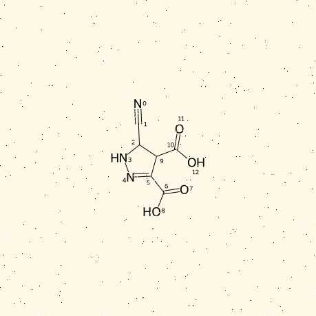 N#CC1NN=C(C(=O)O)C1C(=O)O